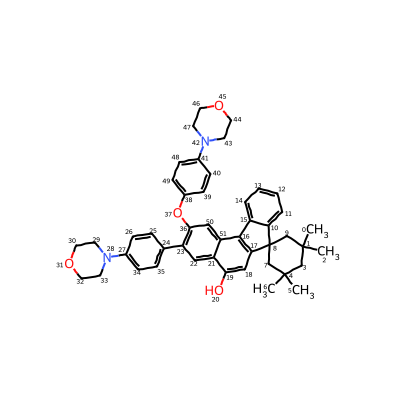 CC1(C)CC(C)(C)CC2(C1)c1ccccc1-c1c2cc(O)c2cc(-c3ccc(N4CCOCC4)cc3)c(Oc3ccc(N4CCOCC4)cc3)cc12